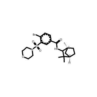 CC1(C)C(NC(=O)c2ccc(Br)c(S(=O)(=O)N3CCOCC3)c2)[C@@]2(C)CC[C@@H]1C2